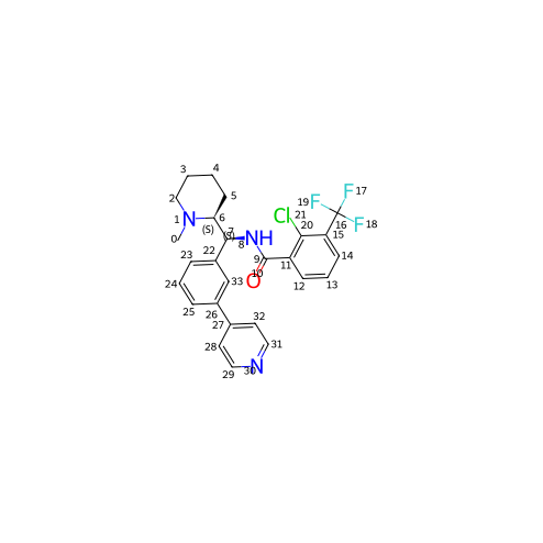 CN1CCCC[C@H]1[C@@H](NC(=O)c1cccc(C(F)(F)F)c1Cl)c1cccc(-c2ccncc2)c1